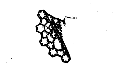 CCCCCCCCOC(=O)CCCC1(c2ccccc2)[C@]23C4=c5ccc6c7ccc8c9ccc%10c%11ccc%12c%13c(c%14c%15c2c5c6c2c7c8c5c9c%10c(c%13%11)c%14c5c%152)[C@]13C=%12C=C4